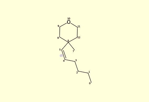 CCCC/C=C\C1(C)CCOCC1